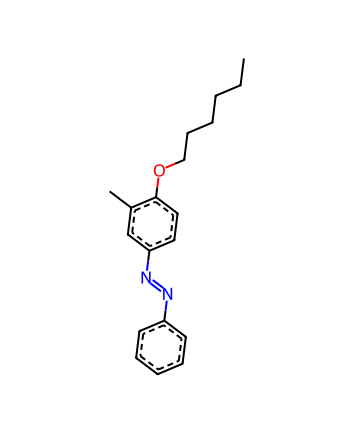 CCCCCCOc1ccc(/N=N/c2ccccc2)cc1C